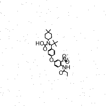 CCC(=O)Nc1ccc(Oc2ccc(C(N(C(=O)O)C3CCC(C)(C)CC3)C(C)(C)C)cc2)cc1[N+](=O)[O-]